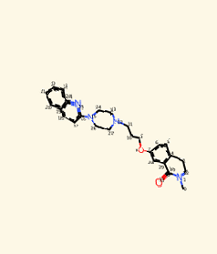 CN1CCc2ccc(OCCCN3CCN(c4ccc5ccccc5n4)CC3)cc2C1=O